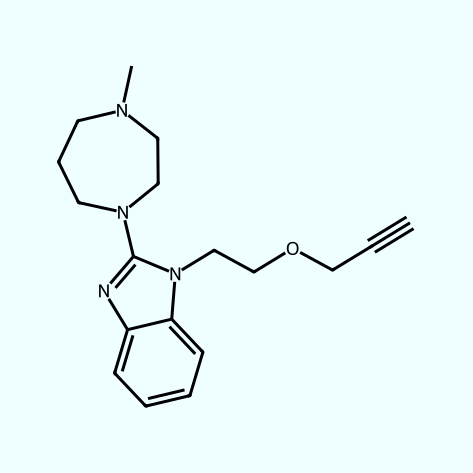 C#CCOCCn1c(N2CCCN(C)CC2)nc2ccccc21